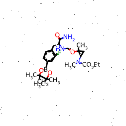 CCOC(=O)N(C)[C@@H]1CC1(C)OCN[C@@H](Cc1ccc(B2OC(C)(C)C(C)(C)O2)cc1F)C(N)=O